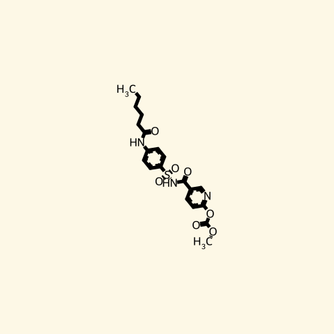 CCCCCC(=O)Nc1ccc(S(=O)(=O)NC(=O)c2ccc(OC(=O)OC)nc2)cc1